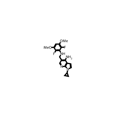 COc1cc(OC)c(F)c(NCc2cnc3c(ccn3C3CC3)c2N)c1F